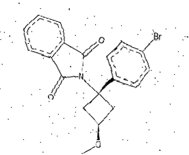 CO[C@H]1C[C@](c2ccc(Br)cc2)(N2C(=O)c3ccccc3C2=O)C1